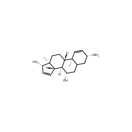 C[C@]12CC[C@H]3[C@@H]([C@@H](O)CC4C[C@@H](N)C=C[C@@]43C)[C@@H]1C=C[C@@H]2O